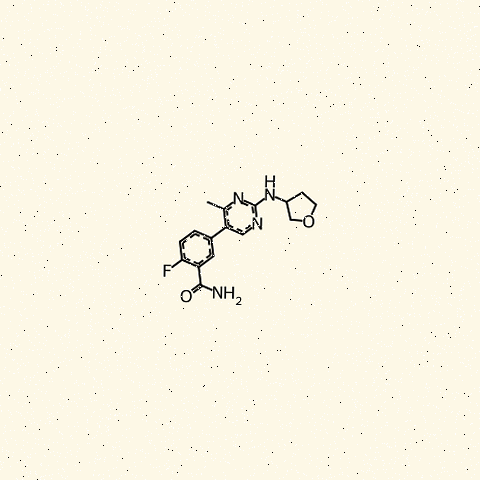 Cc1nc(NC2CCOC2)ncc1-c1ccc(F)c(C(N)=O)c1